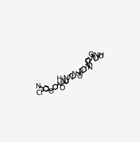 N#Cc1ccc(OC2CCC(NC(=O)c3ccc(N4CCN(CC(=O)N5CCC(n6ncc7c(N8CCC(=O)NC8=O)cccc76)CC5)CC4)nn3)CC2)cc1Cl